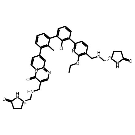 CCOc1nc(-c2cccc(-c3cccc(-c4ccn5c(=O)c(CNC[C@H]6CCC(=O)N6)cnc5c4)c3C)c2Cl)ccc1CNC[C@@H]1CCC(=O)N1